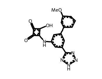 COc1cccc(-c2cc(Nc3c(O)c(=O)c3=O)cc(-c3nn[nH]n3)c2)c1